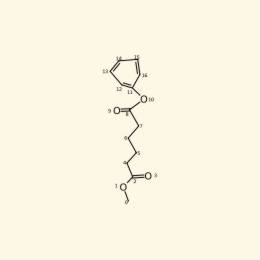 COC(=O)CCCCC(=O)Oc1ccccc1